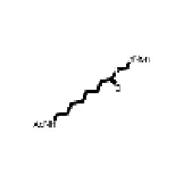 CCCCCCCCCCOC(=O)CCCCCCCNC(C)=O